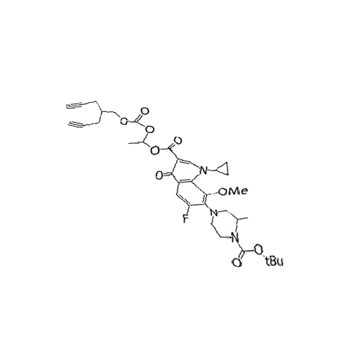 C#CCC(CC#C)COC(=O)OC(C)OC(=O)c1cn(C2CC2)c2c(OC)c(N3CCN(C(=O)OC(C)(C)C)C(C)C3)c(F)cc2c1=O